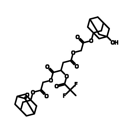 CC(F)(F)C(=O)OC(CC(=O)OCC(=O)OC12CC3CC(CC(O)(C3)C1)C2)C(=O)OCC(=O)OC12CC3CC(C1)C(=O)C(C3)C2